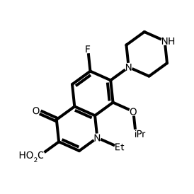 CCn1cc(C(=O)O)c(=O)c2cc(F)c(N3CCNCC3)c(OC(C)C)c21